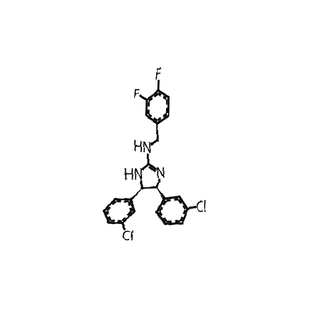 Fc1ccc(CNC2=N[C@@H](c3cccc(Cl)c3)[C@@H](c3cccc(Cl)c3)N2)cc1F